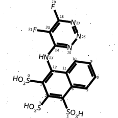 O=S(=O)(O)c1c(S(=O)(=O)O)c(S(=O)(=O)O)c2ccccc2c1Nc1nnnc(F)c1F